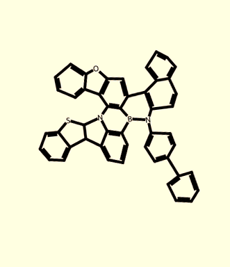 c1ccc(-c2ccc(N3B4c5cccc6c5N(c5c4c(cc4oc7ccccc7c54)-c4c3ccc3ccccc43)C3Sc4ccccc4C63)cc2)cc1